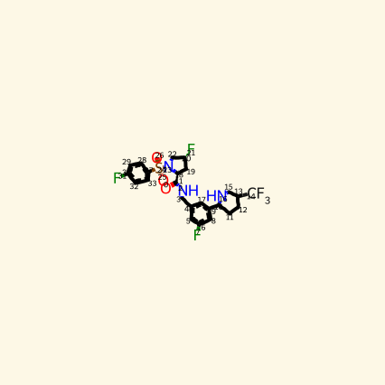 O=C(NCc1cc(F)cc(C2CCC(C(F)(F)F)CN2)c1)[C@@H]1C[C@@H](F)CN1S(=O)(=O)c1ccc(F)cc1